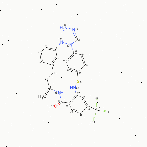 C=C(CCc1ccccc1)NC(=O)c1ccc(C(F)(F)F)cc1NSc1ccc(N(N)/C=N\N)cc1